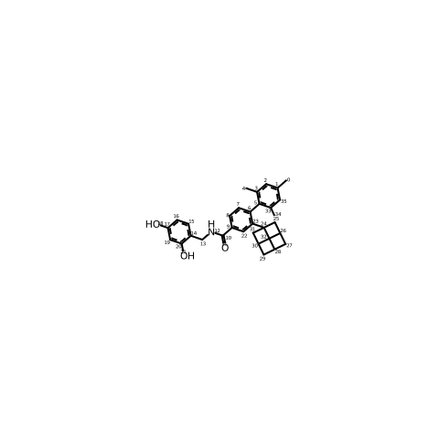 Cc1cc(C)c(-c2ccc(C(=O)NCc3ccc(O)cc3O)cc2C23CC4CC5CC(C2)C543)c(C)c1